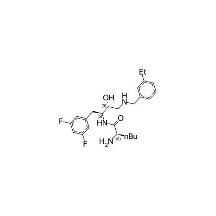 CCCC[C@@H](N)C(=O)N[C@@H](Cc1cc(F)cc(F)c1)[C@H](O)CNCc1cccc(CC)c1